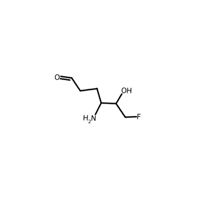 NC(CCC=O)C(O)CF